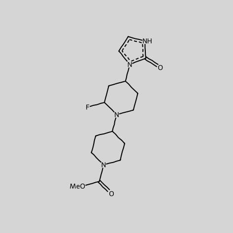 COC(=O)N1CCC(N2CCC(n3cc[nH]c3=O)CC2F)CC1